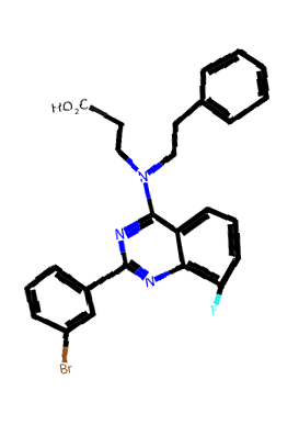 O=C(O)CCN(CCc1ccccc1)c1nc(-c2cccc(Br)c2)nc2c(F)cccc12